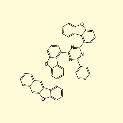 c1ccc(-c2nc(-c3cccc4oc5ccccc5c34)nc(-c3cccc4oc5cc(-c6cccc7oc8cc9ccccc9cc8c67)ccc5c34)n2)cc1